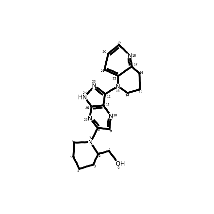 OCC1CCCCN1c1cnc2c(N3CCCc4ncccc43)n[nH]c2n1